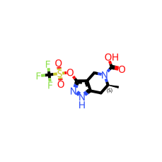 C[C@H]1Cc2[nH]nc(OS(=O)(=O)C(F)(F)F)c2CN1C(=O)O